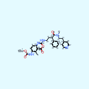 Cc1c(NC(=O)OC(C)(C)C)ccc2nc(NCCC(C(=O)N(C)CCc3ccncc3)c3ccccc3)oc(=O)c12